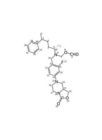 CC(CC[C@H](C)N(COC=O)Cc1ccc(N2CCN3C(=O)OCC3C2)cc1F)c1ccccc1